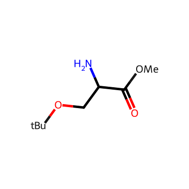 COC(=O)C(N)COC(C)(C)C